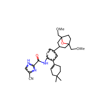 COCC12CCC(COC)(CC(c3ccc(NC(=O)c4nc(C#N)c[nH]4)c(C4=CCC(C)(C)CC4)c3)C1)O2